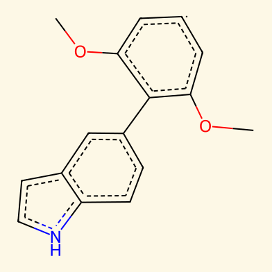 COc1c[c]cc(OC)c1-c1ccc2[nH]ccc2c1